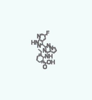 CC[C@@H]1C=CC[C@H](C(=O)O)C1Nc1nc(-c2n[nH]c3ncc(F)cc23)nn2cccc12